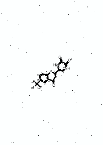 O=C1CC(c2c[nH]c(=O)c(=O)[nH]2)Sc2ccc(C(F)(F)F)cc21